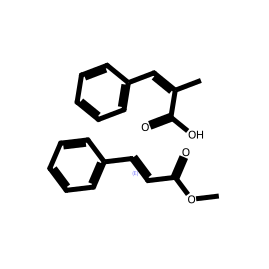 CC(=Cc1ccccc1)C(=O)O.COC(=O)/C=C/c1ccccc1